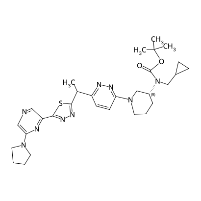 CC(c1ccc(N2CCC[C@@H](N(CC3CC3)C(=O)OC(C)(C)C)C2)nn1)c1nnc(-c2cncc(N3CCCC3)n2)s1